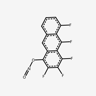 [O]=[Al][O]c1c(F)c(F)c(F)c2c(F)c3c(F)cccc3cc12